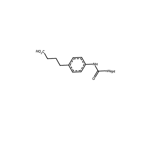 CCCCCCCC(=O)Nc1ccc(CCCC(=O)O)cc1